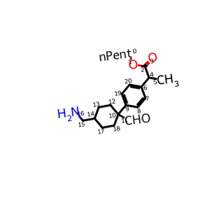 CCCCCOC(=O)C(C)c1ccc(C2(C=O)CCC(CN)CC2)cc1